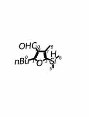 CCCCc1oc([SiH](C)C)c(C)c1C=O